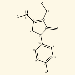 C=C1C(CC)=C(NC)CC1c1ccc(C)cc1